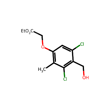 CCOC(=O)COc1cc(Cl)c(CO)c(Cl)c1C